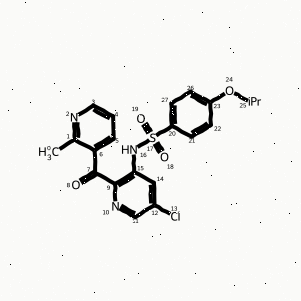 Cc1ncccc1C(=O)c1ncc(Cl)cc1NS(=O)(=O)c1ccc(OC(C)C)cc1